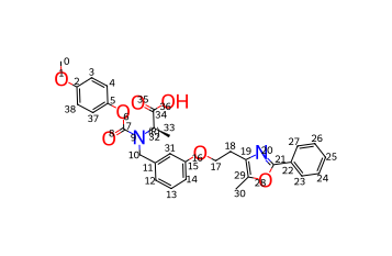 COc1ccc(OC(=O)N(Cc2cccc(OCCc3nc(-c4ccccc4)oc3C)c2)[C@H](C)C(=O)O)cc1